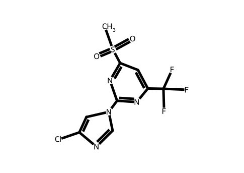 CS(=O)(=O)c1cc(C(F)(F)F)nc(-n2cnc(Cl)c2)n1